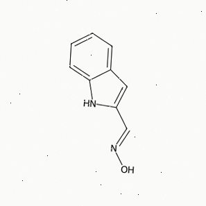 O/N=C/c1cc2ccccc2[nH]1